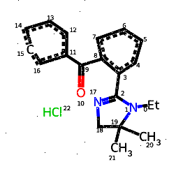 CCN1C(c2ccccc2C(=O)c2ccccc2)=NCC1(C)C.Cl